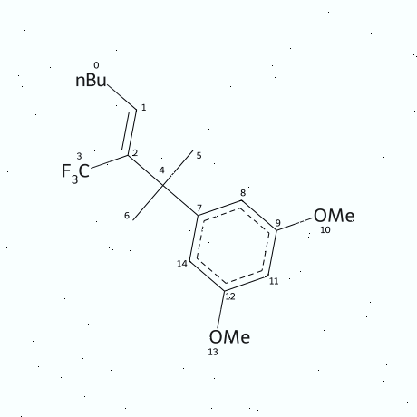 CCCCC=C(C(F)(F)F)C(C)(C)c1cc(OC)cc(OC)c1